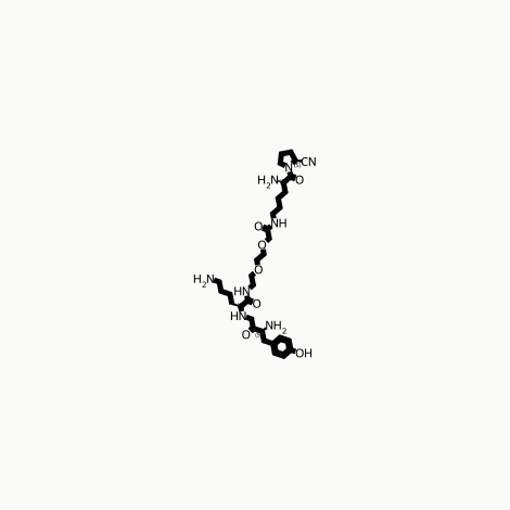 N#C[C@@H]1CCCN1C(=O)[C@@H](N)CCCCNC(=O)COCCOCCNC(=O)[C@H](CCCCN)NCC(=O)[C@@H](N)Cc1ccc(O)cc1